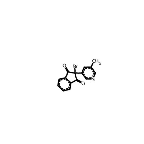 Cc1cncc(C2(Br)C(=O)c3ccccc3C2=O)c1